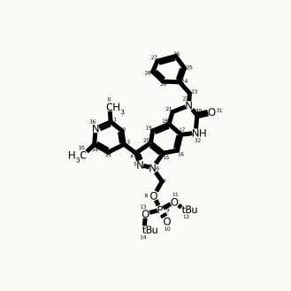 Cc1cc(-c2nn(COP(=O)(OC(C)(C)C)OC(C)(C)C)c3cc4c(cc23)CN(Cc2ccccc2)C(=O)N4)cc(C)n1